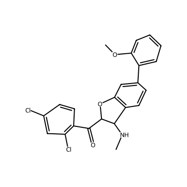 CNC1c2ccc(-c3ccccc3OC)cc2OC1C(=O)c1ccc(Cl)cc1Cl